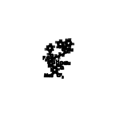 CSc1nc(-c2nnc([C@@](CCCCCC(C)O[Si](c3ccccc3)(c3ccccc3)C(C)(C)C)(OCc3ccccc3)C(F)(F)F)o2)c(NC(=O)OC(C)(C)C)cc1C(F)(F)F